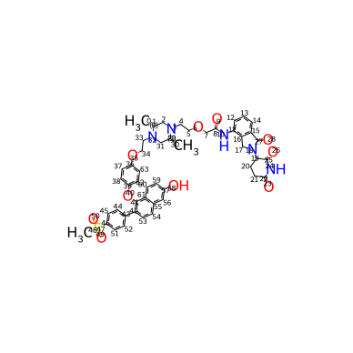 C[C@@H]1CN(CCOCC(=O)Nc2cccc3c2CN(C2CCC(=O)NC2=O)C3=O)[C@@H](C)CN1CCOc1ccc(Oc2c(-c3ccc(S(C)(=O)=O)cc3)ccc3cc(O)ccc23)cc1